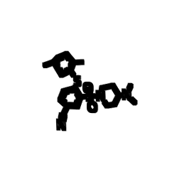 Cc1ccc(C)c(Sc2ccc(C#N)cc2S(=O)(=O)N2CCC(N(C)C)CC2)c1